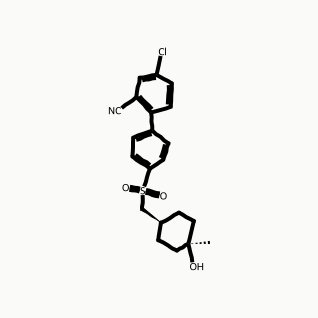 C[C@]1(O)CC[C@@H](CS(=O)(=O)c2ccc(-c3ccc(Cl)cc3C#N)cc2)CC1